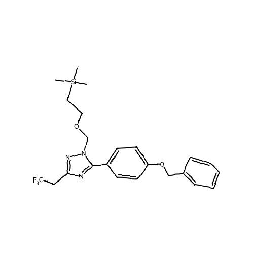 C[Si](C)(C)CCOCn1nc(CC(F)(F)F)nc1-c1ccc(OCc2ccccc2)cc1